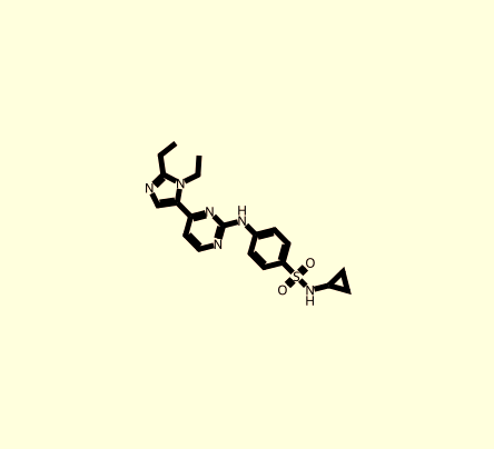 CCc1ncc(-c2ccnc(Nc3ccc(S(=O)(=O)NC4CC4)cc3)n2)n1CC